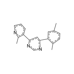 Cc1ccc(C)c(-c2cc(-c3cccnc3C)ncn2)c1